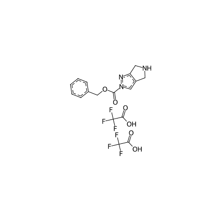 O=C(O)C(F)(F)F.O=C(O)C(F)(F)F.O=C(OCc1ccccc1)n1cc2c(n1)CNC2